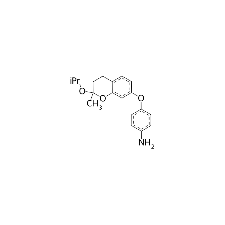 CC(C)OC1(C)CCc2ccc(Oc3ccc(N)cc3)cc2O1